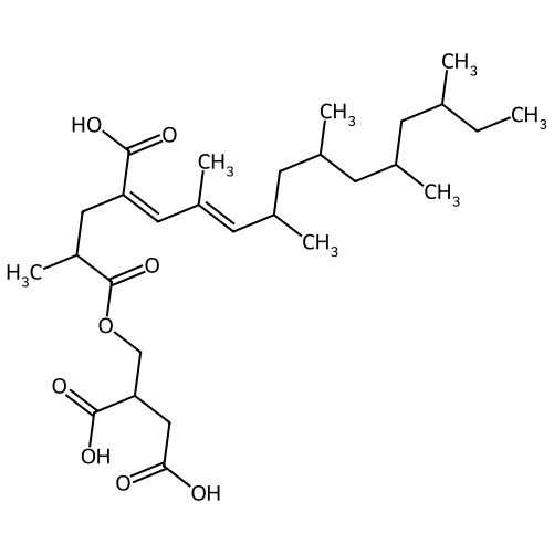 CCC(C)CC(C)CC(C)CC(C)/C=C(C)/C=C(/CC(C)C(=O)OCC(CC(=O)O)C(=O)O)C(=O)O